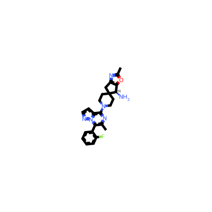 Cc1nc2c(o1)[C@@H](N)C1(CCN(c3nc(C)c(-c4ccccc4F)n4nccc34)CC1)C2